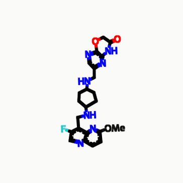 COc1ccc2ncc(F)c(CNC3CCC(NCc4cnc5c(n4)NC(=O)CO5)CC3)c2n1